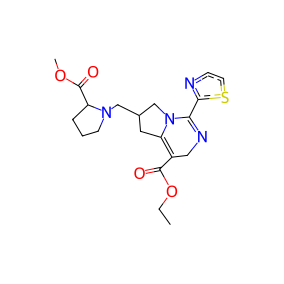 CCOC(=O)C1=C2CC(CN3CCCC3C(=O)OC)CN2C(c2nccs2)=NC1